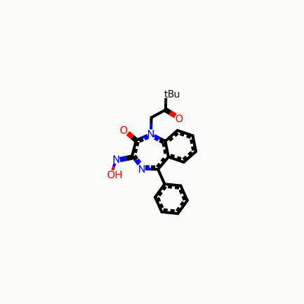 CC(C)(C)C(=O)Cn1c(=O)c(=NO)nc(-c2ccccc2)c2ccccc21